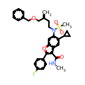 C=C(CCN(c1cc2oc(-c3ccc(F)cc3)c(C(=O)NC)c2cc1C1CC1)S(C)(=O)=O)COCc1ccccc1